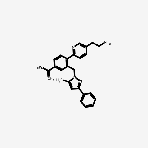 C=C(CCC)c1ccc(-c2ccc(CCN)cn2)c(Cn2nc(-c3ccccc3)cc2C)c1